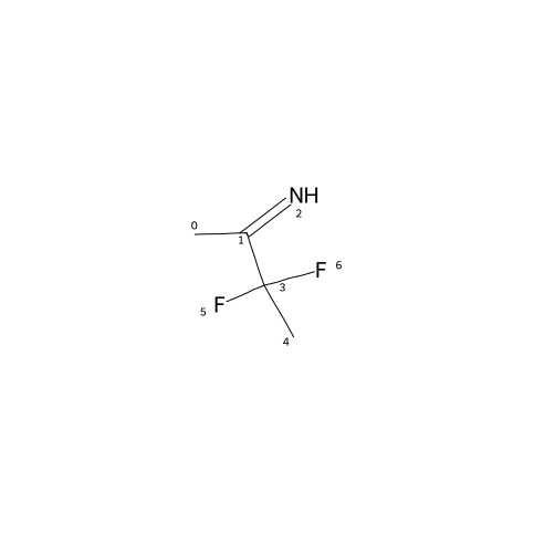 CC(=N)C(C)(F)F